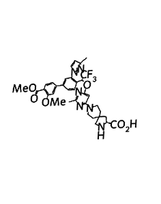 COC(=O)c1ccc(-c2ccc([C@@H](Oc3cc(N4CCC5(CC4)CN[C@H](C(=O)O)C5)nc(C)n3)C(F)(F)F)c(-n3ccc(C)n3)c2)cc1OC